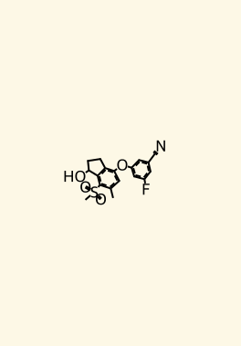 Cc1cc(Oc2cc(F)cc(C#N)c2)c2c(c1S(C)(=O)=O)C(O)CC2